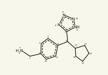 NCc1ccc(C(c2nnn[nH]2)C2CCCC2)cc1